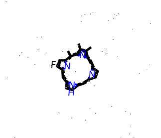 Cc1c(C)c2c(C)c3nc(cc4ccc(cc5nc(cc1n2C)C=C5)[nH]4)C=C3.[Fe]